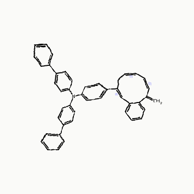 C=C1/C=C\C=C/C/C(c2ccc(N(c3ccc(-c4ccccc4)cc3)c3ccc(-c4ccccc4)cc3)cc2)=C\c2ccccc21